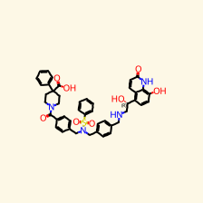 O=C(c1ccc(CN(Cc2ccc(CNC[C@H](O)c3ccc(O)c4[nH]c(=O)ccc34)cc2)S(=O)(=O)c2ccccc2)cc1)N1CCC(C(=O)O)(c2ccccc2)CC1